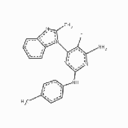 Cc1ccc(Nc2nc(N)c(F)c(-n3c(C)nc4ccccc43)n2)cc1